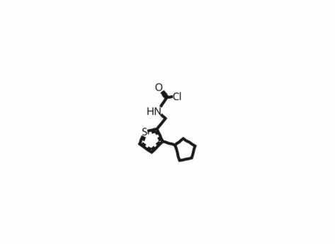 O=C(Cl)NCc1sccc1C1CCCC1